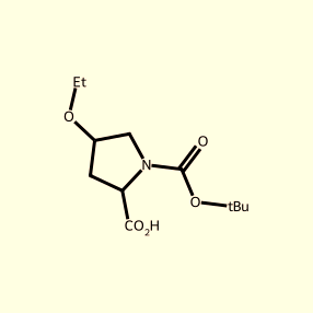 CCOC1CC(C(=O)O)N(C(=O)OC(C)(C)C)C1